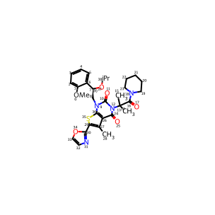 COc1ccccc1[C@H](Cn1c(=O)n(C(C)(C)C(=O)N2CCCCC2)c(=O)c2c(C)c(-c3ncco3)sc21)OC(C)C